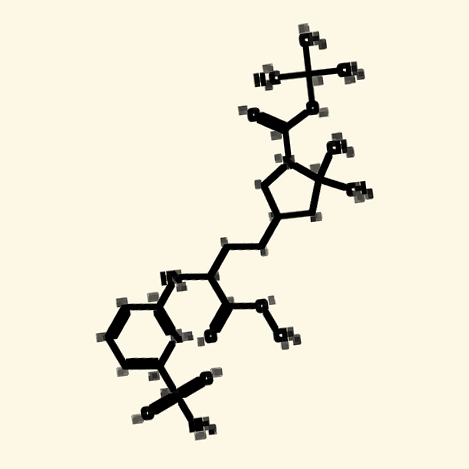 COC(=O)C(CCC1CN(C(=O)OC(C)(C)C)C(C)(C)C1)Nc1cccc(S(N)(=O)=O)n1